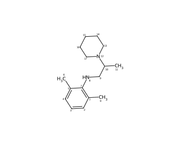 Cc1cccc(C)c1NCC(C)N1CCCCC1